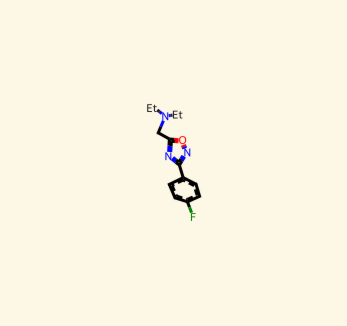 CCN(CC)Cc1nc(-c2ccc(F)cc2)no1